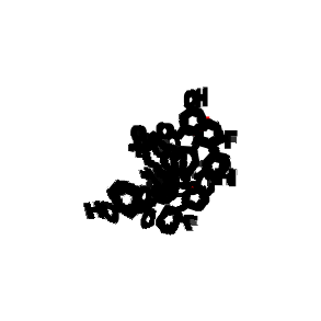 Cc1c(F)cccc1[C@@H]1[C@@H](C(=O)c2cccc(O)c2)CN(CCN(C)S(C)(=O)=O)[C@@](C(=O)[C@]2(C3CCCNC3)[C@@H](c3ccccc3)[C@H](c3cccc(F)c3C)[C@@H](C(=O)c3cccc(O)c3)CN2CCN(C)S(C)(=O)=O)(C2CCCNC2)[C@H]1c1ccccc1